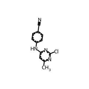 Cc1cc(Nc2ccc(C#N)cc2)nc(Cl)n1